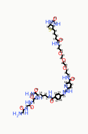 NCC(=O)NCC(=O)NCC(=O)N[C@@H](CCCCNC(=O)c1ccc(/C=N/Nc2ccc(C(=O)NCCCOCCOCCOCCCNC(=O)CCCCC3SCC4NC(=O)NC43)cn2)cc1)C(N)=O